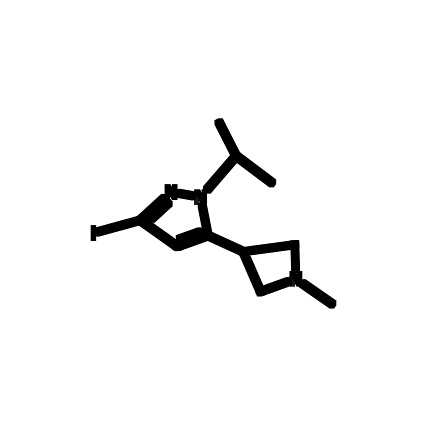 CC(C)n1nc(I)cc1C1CN(C)C1